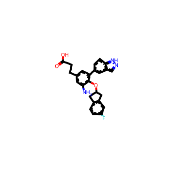 Nc1cc(CCC(=O)O)cc(-c2ccc3[nH]ncc3c2)c1OC1Cc2ccc(F)cc2C1